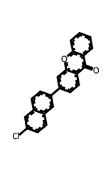 O=c1c2ccccc2oc2cc(-c3ccc4cc(Cl)ccc4c3)ccc12